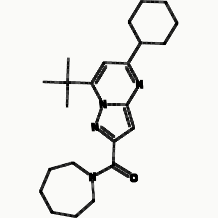 CC(C)(C)c1cc(C2CCCCC2)nc2cc(C(=O)N3CCCCCC3)nn12